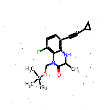 CC1Nc2c(C#CC3CC3)ccc(F)c2N(CO[Si](C)(C)C(C)(C)C)C1=O